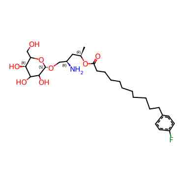 C[C@H](C[C@@H](N)CO[C@H]1OC(CO)[C@H](O)C(O)C1O)OC(=O)CCCCCCCCCCc1ccc(F)cc1